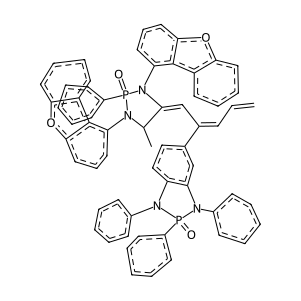 C=C/C=C(\C=C1/C(C)N(c2cccc3oc4ccccc4c23)P(=O)(c2ccccc2)N1c1cccc2oc3ccccc3c12)c1ccc2c(c1)N(c1ccccc1)P(=O)(c1ccccc1)N2c1ccccc1